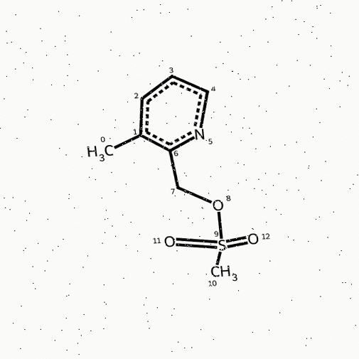 Cc1cccnc1COS(C)(=O)=O